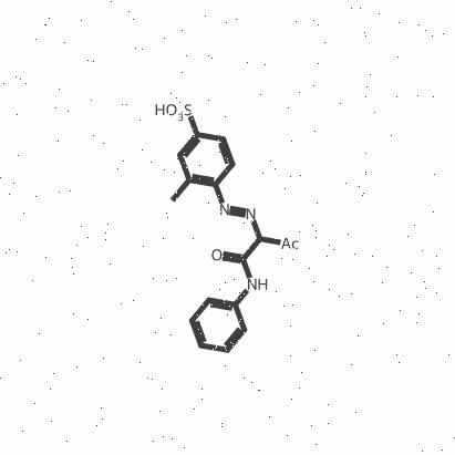 CC(=O)C(/N=N/c1ccc(S(=O)(=O)O)cc1C)C(=O)Nc1ccccc1